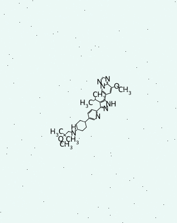 COc1cc(-c2[nH]nc(-c3ccc(C4CCC(NCC(C)(C)OC)CC4)cn3)c2C(C)C)cn2ncnc12